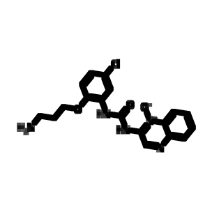 NCCCOc1ccc(Cl)cc1NC(=O)Nc1cnc2ccccc2[n+]1[O-]